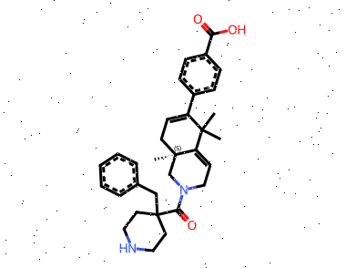 CC1(C)C(c2ccc(C(=O)O)cc2)=CC[C@]2(C)CN(C(=O)C3(Cc4ccccc4)CCNCC3)CC=C12